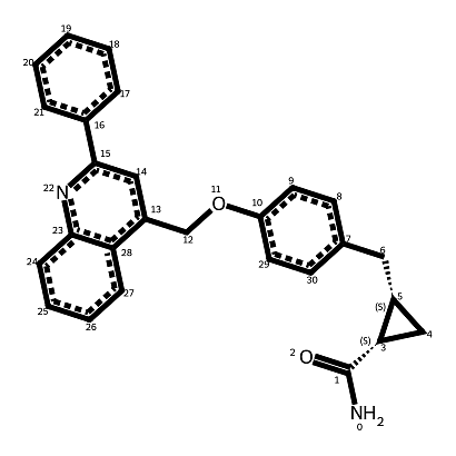 NC(=O)[C@H]1C[C@H]1Cc1ccc(OCc2cc(-c3ccccc3)nc3ccccc23)cc1